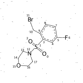 O=S(=O)(c1cc(F)ccc1CBr)N1CCOCC1